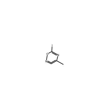 CC1=C=NOC(I)=N1